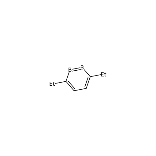 CCc1bbc(CC)cc1